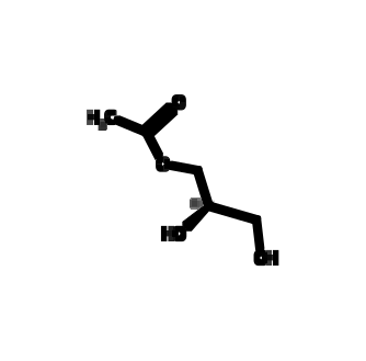 CC(=O)OC[C@H](O)CO